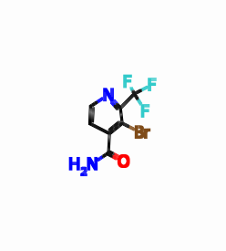 NC(=O)c1ccnc(C(F)(F)F)c1Br